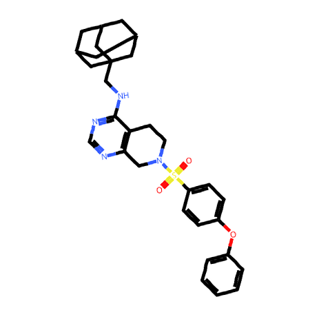 O=S(=O)(c1ccc(Oc2ccccc2)cc1)N1CCc2c(ncnc2NCC23CC4CC(CC(C4)C2)C3)C1